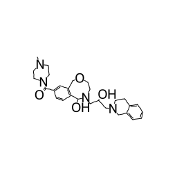 CN1CCN(C(=O)c2ccc3c(c2)COCCN(C[C@H](O)CN2CCc4ccccc4C2)C3O)CC1